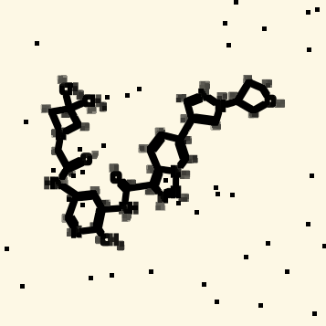 Cc1ncc(NC(=O)CN2CC(C)(C)C2)cc1NC(=O)c1nnn2cc(-c3cnn(C4CCOC4)c3)ccc12